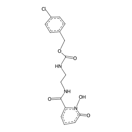 O=C(NCCNC(=O)c1cccc(=O)n1O)OCc1ccc(Cl)cc1